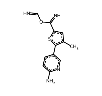 Cc1cc(C(=N)OC=N)sc1-c1ccc(N)nc1